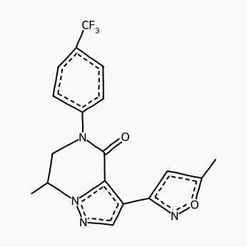 Cc1cc(-c2cnn3c2C(=O)N(c2ccc(C(F)(F)F)cc2)CC3C)no1